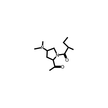 CCC(C)C(=O)N1CC(N(C)C)CC1C(C)=O